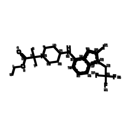 CCOC(=O)C(C)(C)N1CCC(Nc2cccc3c2cc(I)n3CC(F)(F)F)CC1